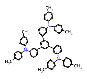 Cc1ccc(N(c2ccc(C)cc2)c2cccc(-c3cc(-c4cccc(N(c5ccc(C)cc5)c5ccc(C)cc5)c4)cc(-c4cccc(N(c5ccc(C)cc5)c5ccc(C)cc5)c4)c3)c2)cc1